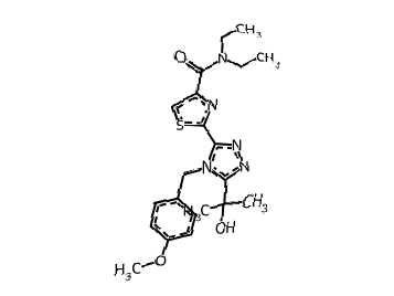 CCN(CC)C(=O)c1csc(-c2nnc(C(C)(C)O)n2Cc2ccc(OC)cc2)n1